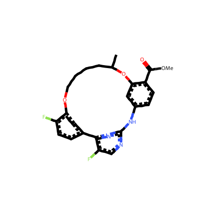 COC(=O)c1ccc2cc1OC(C)CCCCOc1cc(ccc1F)-c1nc(ncc1F)N2